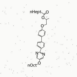 CCCCCCCCOc1cnc(-c2ccc(-c3ccc(OCC(C)OC(=O)CCCCCCC)cc3)cc2)nc1